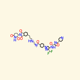 CN(CCNCCCc1ccc2c(c1)C(=O)N(C1CCC(=O)NC1=O)C2=O)C(=O)c1ccc(-n2cc(NC(=O)c3coc(-c4ccncc4)n3)c(C(F)F)n2)cc1